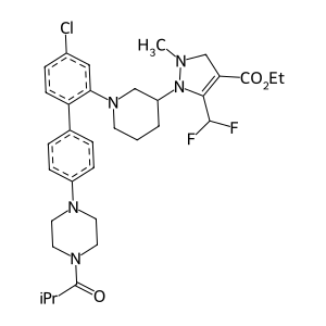 CCOC(=O)C1=C(C(F)F)N(C2CCCN(c3cc(Cl)ccc3-c3ccc(N4CCN(C(=O)C(C)C)CC4)cc3)C2)N(C)C1